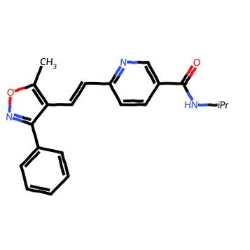 Cc1onc(-c2ccccc2)c1C=Cc1ccc(C(=O)NC(C)C)cn1